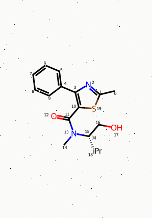 Cc1nc(-c2ccccc2)c(C(=O)N(C)[C@H](CO)C(C)C)s1